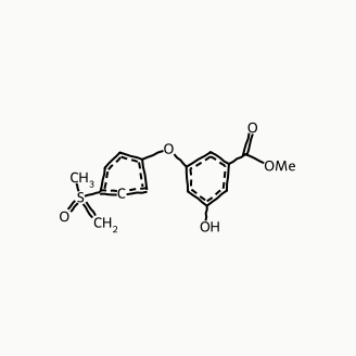 C=S(C)(=O)c1ccc(Oc2cc(O)cc(C(=O)OC)c2)cc1